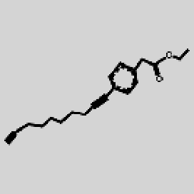 C#CCCCCCCC#Cc1ccc(CC(=O)OCC)cc1